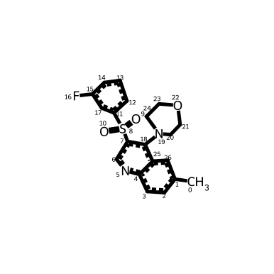 Cc1ccc2ncc(S(=O)(=O)c3cccc(F)c3)c(N3CCOCC3)c2c1